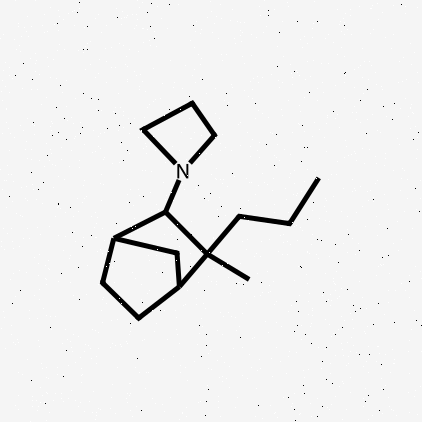 CCCC1(C)C2CCC(C2)C1N1CCC1